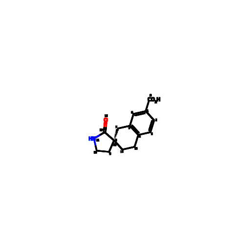 O=C(O)c1ccc2c(c1)C[C@@]1(CCNC1=O)CC2